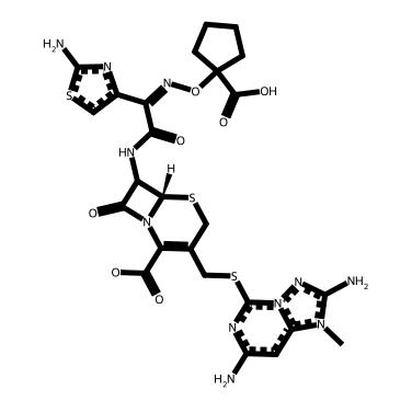 Cn1c(N)n[n+]2c(SCC3=C(C(=O)[O-])N4C(=O)C(NC(=O)/C(=N\OC5(C(=O)O)CCCC5)c5csc(N)n5)[C@@H]4SC3)nc(N)cc12